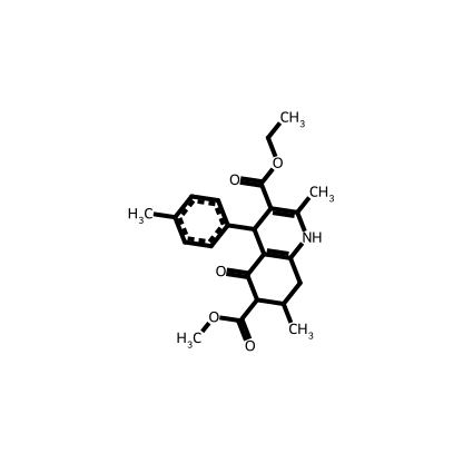 CCOC(=O)C1=C(C)NC2=C(C(=O)C(C(=O)OC)C(C)C2)C1c1ccc(C)cc1